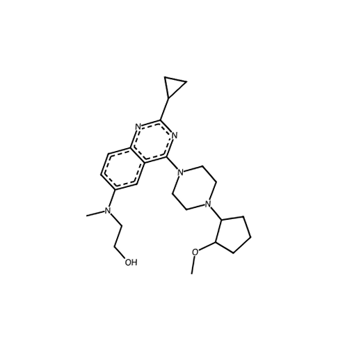 COC1CCCC1N1CCN(c2nc(C3CC3)nc3ccc(N(C)CCO)cc23)CC1